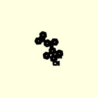 N#Cc1ccc(-c2c(-c3ccccc3)cc(-n3c4ccccc4c4cc(-n5c6ccccc6c6ccccc65)ccc43)cc2-c2ccccc2)c(C#N)c1